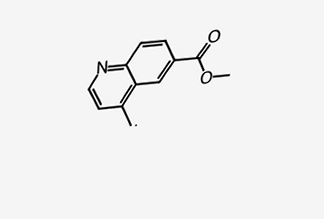 [CH2]c1ccnc2ccc(C(=O)OC)cc12